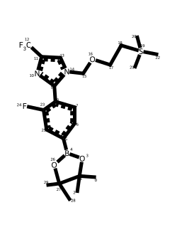 CC1(C)OB(c2ccc(-c3nc(C(F)(F)F)cn3COCCS(C)(C)C)c(F)c2)OC1(C)C